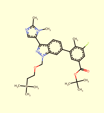 Cc1c(F)cc(C(=O)OC(C)(C)C)cc1-c1ccc2c(-c3cnc(C)n3C)nn(COCC[Si](C)(C)C)c2c1